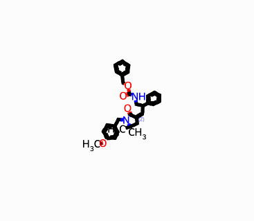 COc1ccc(CN2C(=O)/C(=C\C(CNC(=O)OCc3ccccc3)c3ccccc3)CC2(C)C)cc1